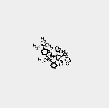 COc1ccc(C(C)(C)C)cc1CN[C@H]1[C@H](C(C)(C)C)[C@@H](C(=O)O)N(C(=O)[C@@H]2CCCO2)[C@H]1c1ccccc1Br